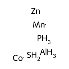 P.S.[AlH3].[Co].[Mn].[Zn]